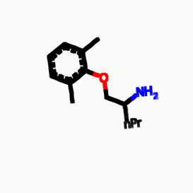 CCCC(N)COc1c(C)cccc1C